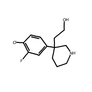 OCCC1(c2ccc(Cl)c(F)c2)CCCNC1